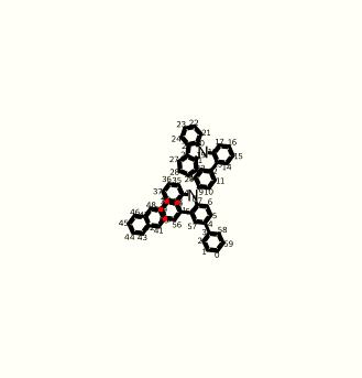 c1ccc(-c2ccc(N(c3ccc(-c4ccccc4-n4c5ccccc5c5ccccc54)cc3)c3cccc(-c4ccc5ccccc5c4)c3)c(-c3ccccc3)c2)cc1